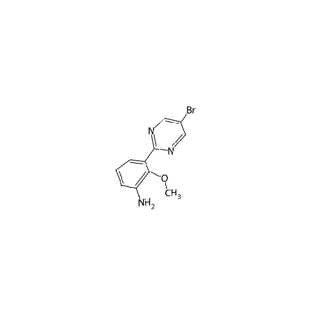 COc1c(N)cccc1-c1ncc(Br)cn1